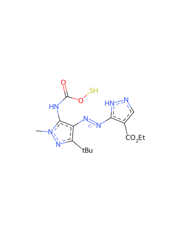 CCOC(=O)c1cn[nH]c1/N=N/c1c(C(C)(C)C)nn(C)c1NC(=O)OS